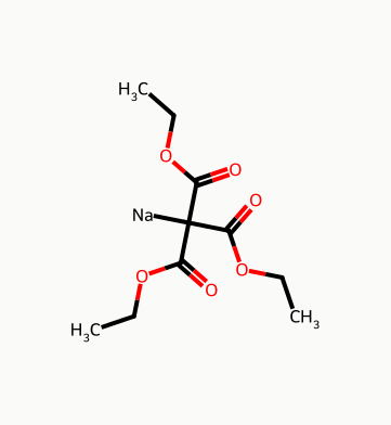 CCOC(=O)[C]([Na])(C(=O)OCC)C(=O)OCC